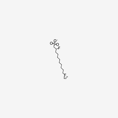 O=S(=O)([O-])CC(F)CCCCCCCCCF.[Li+]